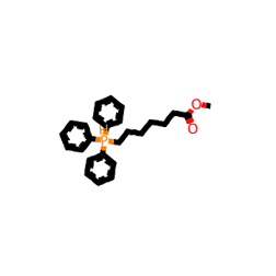 COC(=O)CCCCCC[PH](c1ccccc1)(c1ccccc1)c1ccccc1